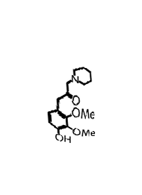 COc1c(O)ccc(CC(=O)CN2CCCCC2)c1OC